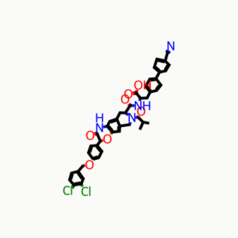 CC(C)C(=O)N1Cc2cc3c(cc2CC1C(=O)NC(Cc1ccc(-c2ccc(C#N)cc2)cc1)C(=O)O)NC(=O)C(c1ccc(OCc2ccc(Cl)c(Cl)c2)cc1)O3